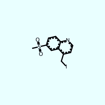 CS(=O)(=O)c1ccc2nccc(CI)c2c1